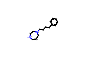 c1ccc(CCCCN2CCCNCC2)cc1